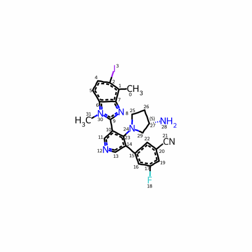 Cc1c(I)ccc2c1nc(-c1cncc(-c3cc(F)cc(C#N)c3)c1N1CC[C@H](N)C1)n2C